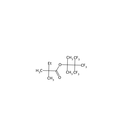 CCC(C)(C)C(=O)OC(C)(C)C(C(F)(F)F)(C(F)(F)F)C(F)(F)F